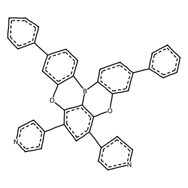 c1ccc(-c2ccc3c(c2)Oc2c(-c4ccncc4)cc(-c4ccncc4)c4c2B3c2ccc(-c3ccccc3)cc2O4)cc1